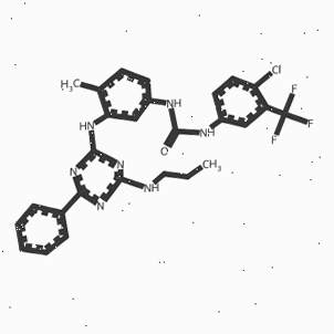 CCCNc1nc(Nc2cc(NC(=O)Nc3ccc(Cl)c(C(F)(F)F)c3)ccc2C)nc(-c2ccccc2)n1